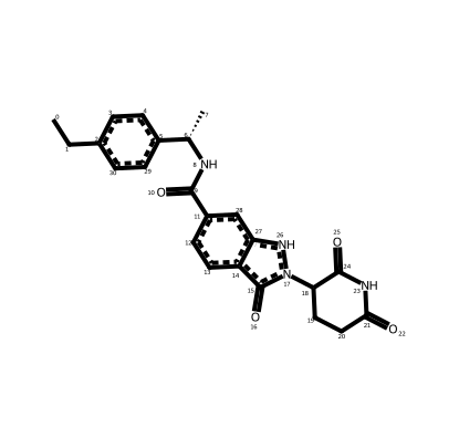 CCc1ccc([C@H](C)NC(=O)c2ccc3c(=O)n(C4CCC(=O)NC4=O)[nH]c3c2)cc1